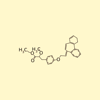 CCOC(=O)C(Cc1ccc(OCC=C2C=CC3=C(CCC=C3)c3ccccc32)cc1)OC